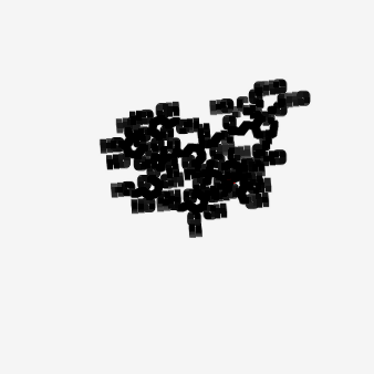 O=COCN1CCN(COC=O)C(N(COC=O)CC(=O)O)C(CCC(=O)NCC(=O)NC(CCC(=O)NC(COC2OC(CO)C(O)C(O)C2O)(COC2OC(CO)C(O)C(O)C2O)COC2OC(CO)C(O)C(O)C2O)CC(=O)NC(COC2OC(CO)C(O)C(O)C2O)(COC2OC(CO)C(O)C(O)C2O)COC2OC(CO)C(O)C(O)C2O)C1